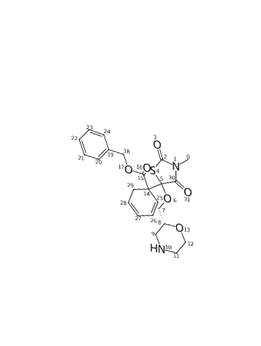 CN1C(=O)SC(OC[C@H]2CNCCO2)(C2(C(=O)OCc3ccccc3)C=CC=CC2)C1=O